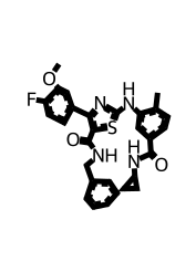 COc1cc(-c2nc(Nc3cc(C(=O)NC4CC4)ccc3C)sc2C(=O)NCc2ccccc2)ccc1F